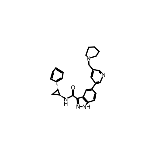 O=C(N[C@H]1C[C@@H]1c1ccccc1)c1n[nH]c2ccc(-c3cncc(CN4CCCCC4)c3)cc12